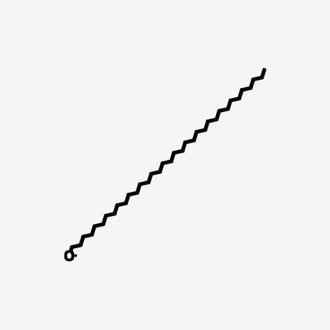 CCCCCCCCCCCCCCCCCCCCCCCCCCCCCCCCCCC[O]